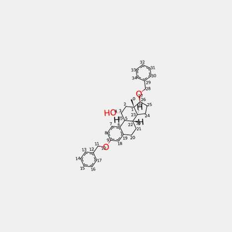 C[C@]12C[C@@H](O)[C@@H]3c4ccc(OCc5ccccc5)cc4CC[C@H]3[C@@H]1CC[C@@H]2OCc1ccccc1